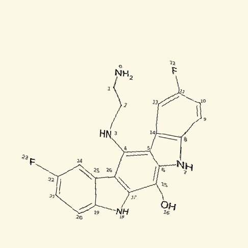 NCCNc1c2c([nH]c3ccc(F)cc32)c(O)c2[nH]c3ccc(F)cc3c12